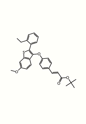 CCc1ccccc1-c1sc2cc(OC)ccc2c1Oc1ccc(C=CC(=O)OC(C)(C)C)cc1